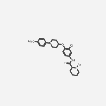 COc1ccc(N2CCC(Oc3ccc(NC(=O)C4CCCCN4C(C)=O)cc3Cl)CC2)cc1